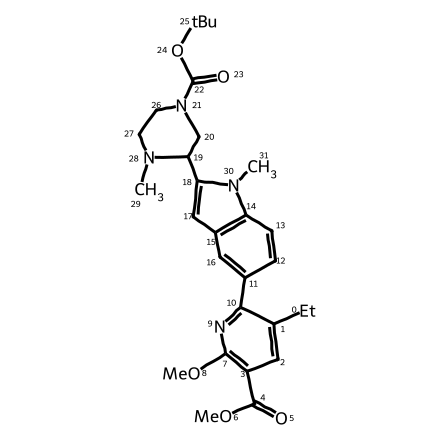 CCc1cc(C(=O)OC)c(OC)nc1-c1ccc2c(c1)cc(C1CN(C(=O)OC(C)(C)C)CCN1C)n2C